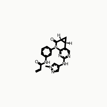 C=CC(=O)Nc1cccc(N2C(=O)[C@@H]3C[C@@H]3c3cnc(Nc4cnn(C)c4)nc32)c1